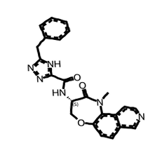 CN1C(=O)[C@@H](NC(=O)c2nnc(Cc3ccccc3)[nH]2)COc2ccc3cnccc3c21